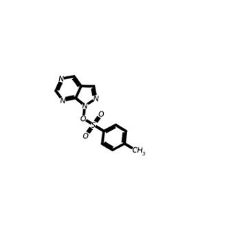 Cc1ccc(S(=O)(=O)On2ncc3cncnc32)cc1